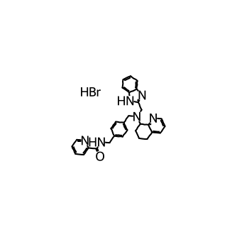 Br.O=C(NCc1ccc(CN(Cc2nc3ccccc3[nH]2)C2CCCc3cccnc32)cc1)c1ccccn1